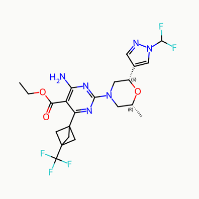 CCOC(=O)c1c(N)nc(N2C[C@@H](C)O[C@@H](c3cnn(C(F)F)c3)C2)nc1C12CC(C(F)(F)F)(C1)C2